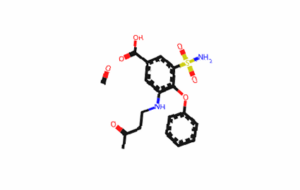 C=O.CC(=O)CCNc1cc(C(=O)O)cc(S(N)(=O)=O)c1Oc1ccccc1